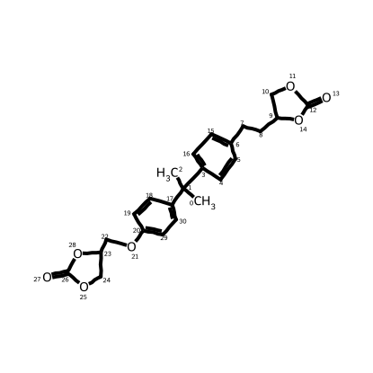 CC(C)(c1ccc(CCC2COC(=O)O2)cc1)c1ccc(OCC2COC(=O)O2)cc1